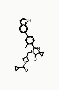 Cc1cc(-c2ccc3cc[nH]c3c2)ccc1C1=NC2(CC2)C(=O)N1CC1CN(C(=O)C2CC2)C1